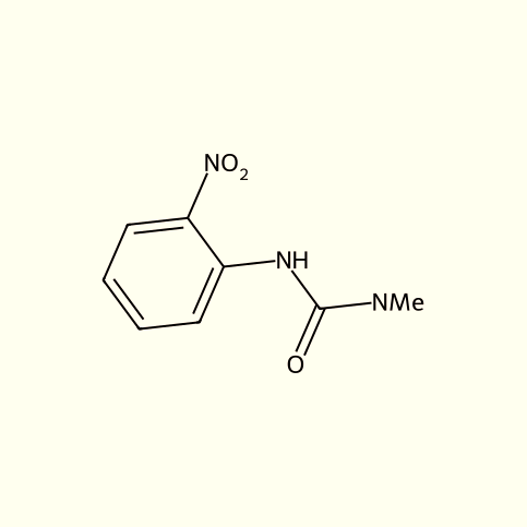 CNC(=O)Nc1ccccc1[N+](=O)[O-]